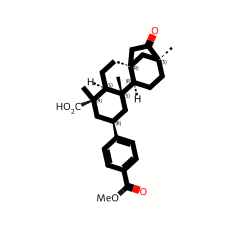 COC(=O)c1ccc([C@@H]2C[C@@]3(C)[C@@H]4CC[C@@]5(C)C[C@]4(CC[C@@H]3[C@](C)(C(=O)O)C2)CC5=O)cc1